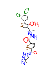 C/C(=N\NC(=O)c1ccc(C(=O)NCc2cn(C)cn2)s1)c1csc(-c2ccc(Cl)c(Cl)c2)c1O